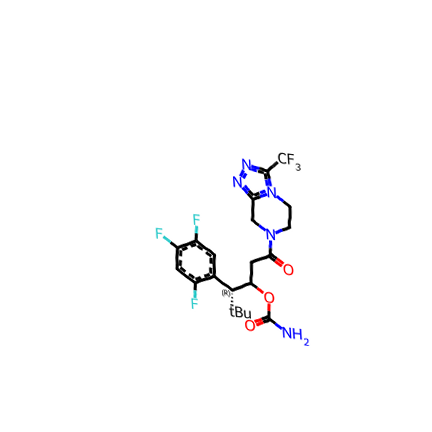 CC(C)(C)[C@H](c1cc(F)c(F)cc1F)C(CC(=O)N1CCn2c(nnc2C(F)(F)F)C1)OC(N)=O